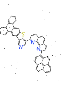 c1cc2ccc3ccc(-c4ccc5ccc6ccc(-c7cncc8c7sc7cc9c%10ccccc%10c%10ccccc%10c9cc78)nc6c5n4)c4ccc(c1)c2c34